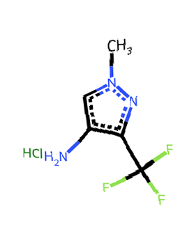 Cl.Cn1cc(N)c(C(F)(F)F)n1